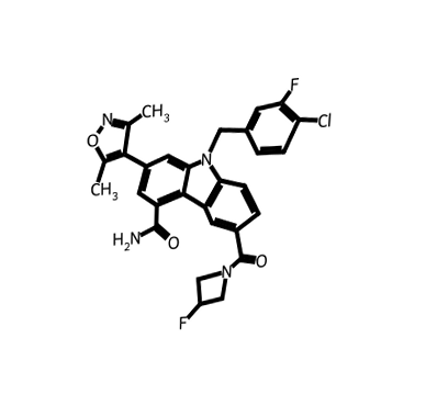 Cc1noc(C)c1-c1cc(C(N)=O)c2c3cc(C(=O)N4CC(F)C4)ccc3n(Cc3ccc(Cl)c(F)c3)c2c1